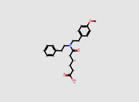 COc1ccc(CCN(CCc2ccccc2)C(=O)CCCCC(=O)O)cc1